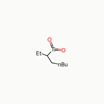 CCCCC[CH](CC)[Ti](=[O])=[O]